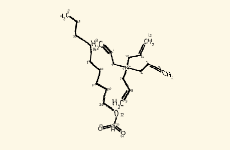 C=CC[N+](CC=C)(CC=C)CC=C.CCCCCCCCCO[SH](=O)=O